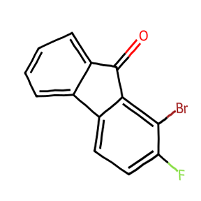 O=C1c2ccccc2-c2ccc(F)c(Br)c21